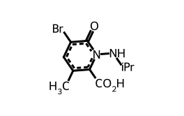 Cc1cc(Br)c(=O)n(NC(C)C)c1C(=O)O